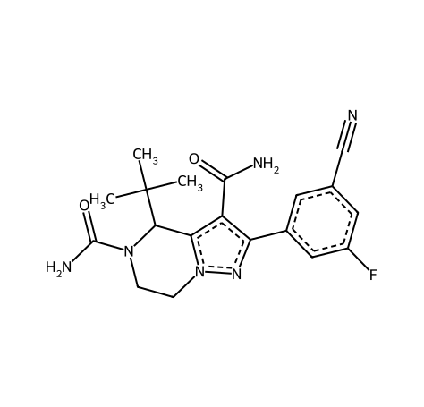 CC(C)(C)C1c2c(C(N)=O)c(-c3cc(F)cc(C#N)c3)nn2CCN1C(N)=O